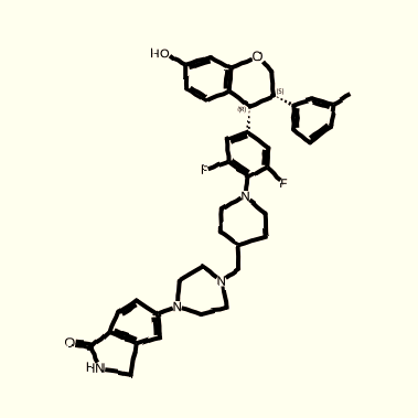 Cc1cccc([C@H]2COc3cc(O)ccc3[C@H]2c2cc(F)c(N3CCC(CN4CCN(c5ccc6c(c5)CNC6=O)CC4)CC3)c(F)c2)c1